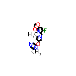 Cc1cncc(O[C@@H]2C[C@H](C)N(Cc3nc4c(cc3F)OCCO4)C2)n1